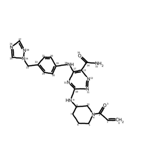 C=CC(=O)N1CCCC(Nc2nnc(C(N)=O)c(Nc3ccc(Cn4cncn4)cc3)n2)C1